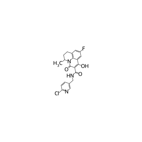 CC1CCc2cc(F)cc3c(O)c(C(=O)NCc4ccc(Cl)nc4)c(=O)n1c23